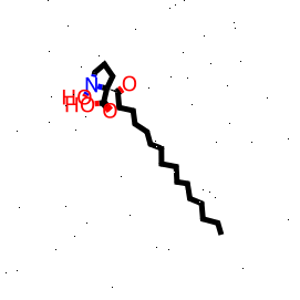 CCCCCCCCCCCCCCCC(=O)[C@@]1(C(=O)O)CCCN1O